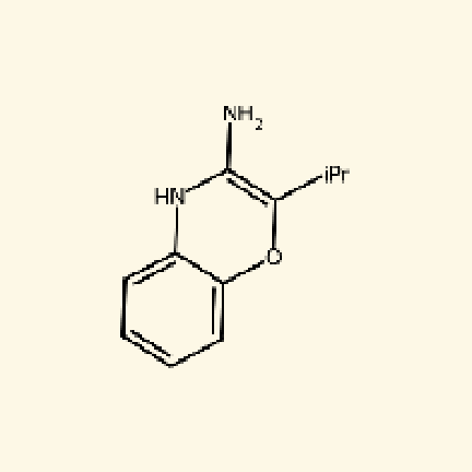 CC(C)C1=C(N)Nc2ccccc2O1